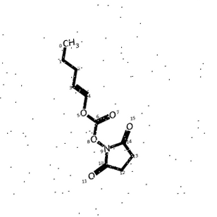 CCCC=COC(=O)ON1C(=O)CCC1=O